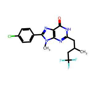 CC(Cc1nc2c(nc(-c3ccc(Cl)cc3)n2C)c(=O)[nH]1)CC(F)(F)F